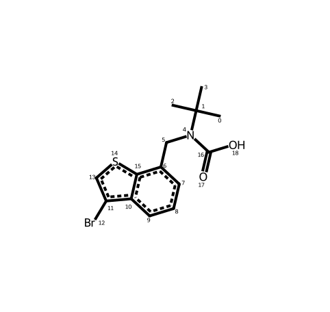 CC(C)(C)N(Cc1cccc2c(Br)csc12)C(=O)O